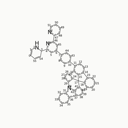 C1=CNC(c2cc(-c3ccc(-c4ccc5c(c4)C4(c6ccccc6-5)c5ccccc5-n5c6ccccc6c6cccc4c65)cc3)cc(-c3ccccn3)n2)C=C1